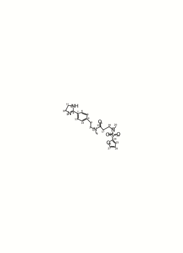 CN(CCc1ccc(C2=NCCN2)cc1)C(=O)CCN(C)S(=O)(=O)c1ccco1